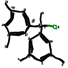 Cc1cc(C)cc([Si](C)(Cl)c2cc(C)cc(C)c2)c1